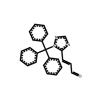 O=C/C=C/c1ncnn1C(c1ccccc1)(c1ccccc1)c1ccccc1